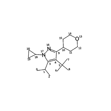 CC(C)c1c(C(C)(C)C)c(C2CCOCC2)nn1C1CC1